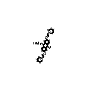 Cl.Cl.O=C1c2ccc(OCCN3CCCCC3)cc2C(=O)c2ccc(OCCN3CCCCC3)cc21